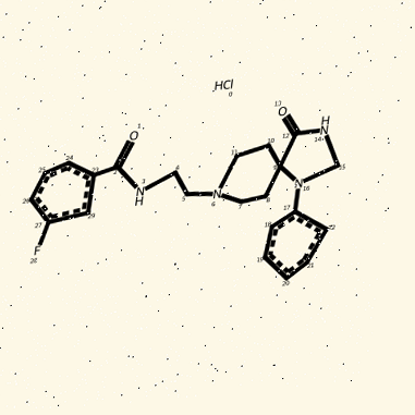 Cl.O=C(NCCN1CCC2(CC1)C(=O)NCN2c1ccccc1)c1cccc(F)c1